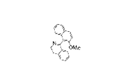 COc1ccc2ccccc2c1C1=NCCc2ccccc21